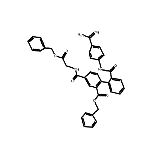 N=C(N)c1ccc(NC(=O)c2ccccc2-c2ccc(C(=O)NCC(=O)OCc3ccccc3)cc2C(=O)OCc2ccccc2)cc1